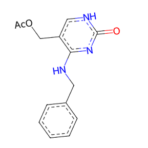 CC(=O)OCc1c[nH]c(=O)nc1NCc1ccccc1